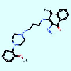 C=C1C(NCCCNN2CCN(c3ccccc3OC)CC2)=C(N=N)C(=O)c2ccccc21